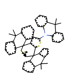 CC1(C)c2ccccc2N(c2cc3c(s2)C2(c4ccccc4C(C)(C)c4ccccc42)c2ccsc2C32c3ccccc3C(C)(C)c3ccccc32)c2ccccc21